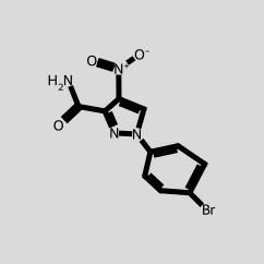 NC(=O)c1nn(-c2ccc(Br)cc2)cc1[N+](=O)[O-]